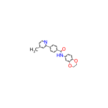 Cc1ccnc(-c2ccc(C(=O)Nc3ccc4c(c3)OCCO4)cc2)c1